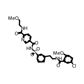 COCCNC(=O)c1ccc(C(=O)NS(=O)(=O)c2cccc(CCNC(=O)c3cc(Cl)ccc3OC)c2)cn1